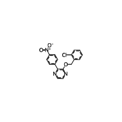 O=[N+]([O-])c1ccc(-c2nccnc2OCc2ccccc2Cl)cc1